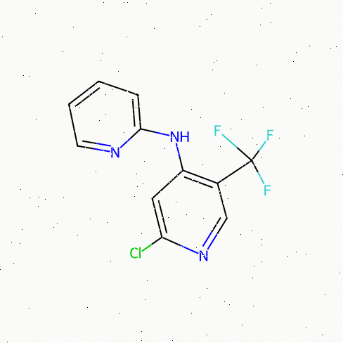 FC(F)(F)c1cnc(Cl)cc1Nc1ccccn1